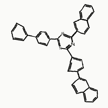 c1ccc(-c2ccc(-c3nc(-c4ccc(-c5ccc6ccccc6c5)cc4)nc(-c4ccc5ccccc5c4)n3)cc2)cc1